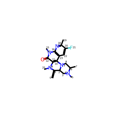 C=C1C2CN(C)C(C)CN2c2c(c(=O)n(C)c3nc(C)c(F)cc23)N1C